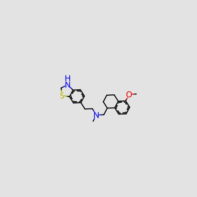 COc1cccc2c1CCCC2CN(C)CCc1ccc2c(c1)SCN2